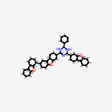 c1ccc(C2NC(c3ccc4c(c3)oc3ccc(-c5cccc6c5oc5ccccc56)cc34)=NC(c3ccc4c(c3)oc3ccccc34)N2)cc1